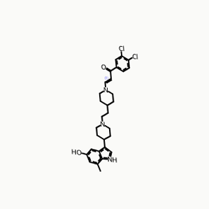 Cc1cc(O)cc2c(C3CCN(CCC4CCN(/C=C/C(=O)c5ccc(Cl)c(Cl)c5)CC4)CC3)c[nH]c12